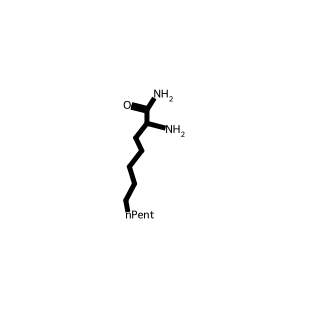 CCCCCCCCCCC(N)C(N)=O